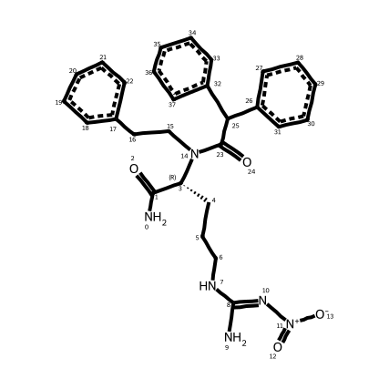 NC(=O)[C@@H](CCCNC(N)=N[N+](=O)[O-])N(CCc1ccccc1)C(=O)C(c1ccccc1)c1ccccc1